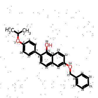 CC(C)Oc1ccc(-c2ccc3cc(OCc4ccccc4)ccc3c2O)cc1